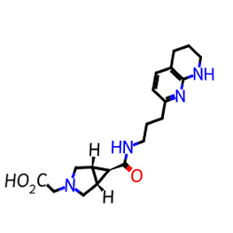 O=C(O)CN1C[C@@H]2[C@H](C1)[C@H]2C(=O)NCCCc1ccc2c(n1)NCCC2